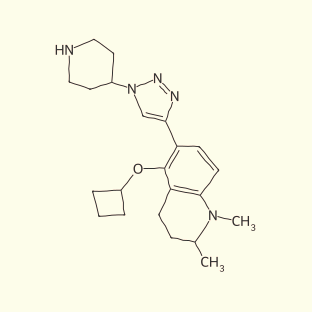 CC1CCc2c(ccc(-c3cn(C4CCNCC4)nn3)c2OC2CCC2)N1C